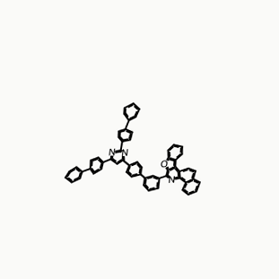 c1ccc(-c2ccc(-c3cc(-c4ccc(-c5cccc(-c6nc7c8ccccc8ccc7c7c6oc6ccccc67)c5)cc4)nc(-c4ccc(-c5ccccc5)cc4)n3)cc2)cc1